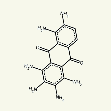 Nc1ccc2c(c1N)C(=O)c1c(N)c(N)c(N)c(N)c1C2=O